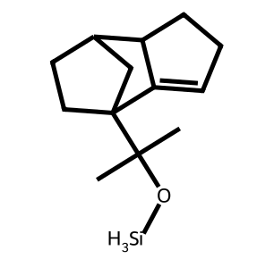 CC(C)(O[SiH3])C12CCC(C1)C1CCC=C12